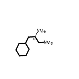 CNC[C@H](CC1CCCCC1)NC